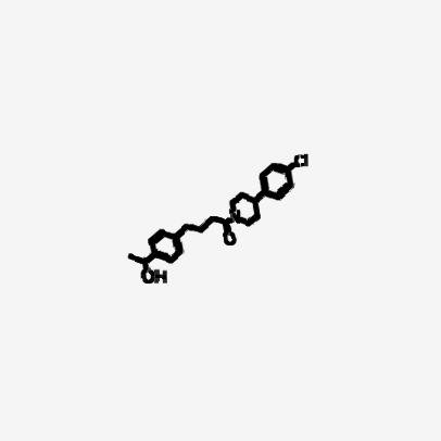 CC(O)c1ccc(CCCC(=O)N2CCC(c3ccc(Cl)cc3)CC2)cc1